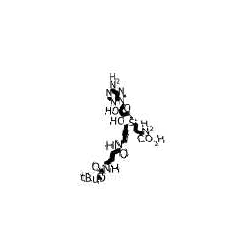 CC(C)(C)OC(=O)NCCCC(=O)NCC#CC[S@@+](CC[C@H](N)C(=O)O)C[C@H]1O[C@@H](n2cnc3c(N)ncnc32)[C@@H](O)C1O